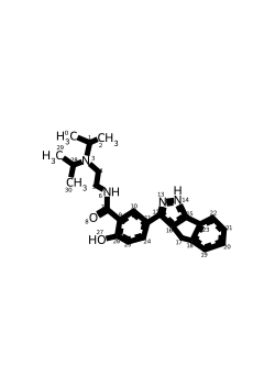 CC(C)N(CCNC(=O)c1cc(-c2n[nH]c3c2Cc2ccccc2-3)ccc1O)C(C)C